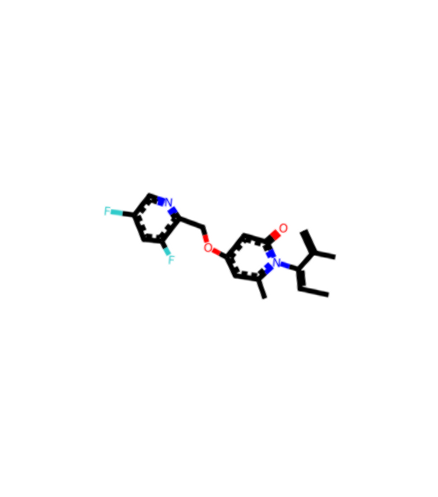 C=C(C)/C(=C\C)n1c(C)cc(OCc2ncc(F)cc2F)cc1=O